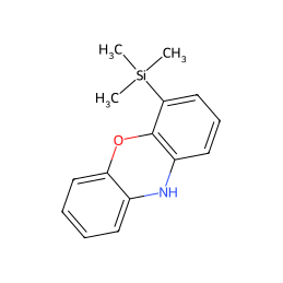 C[Si](C)(C)c1cccc2c1Oc1ccccc1N2